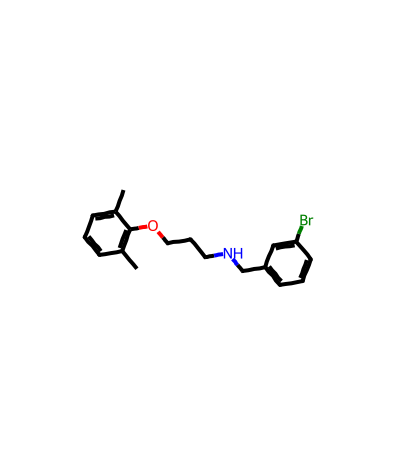 Cc1cccc(C)c1OCCCNCc1cccc(Br)c1